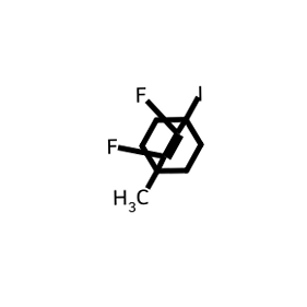 CC12CCC(I)(CC1)C(F)=C2F